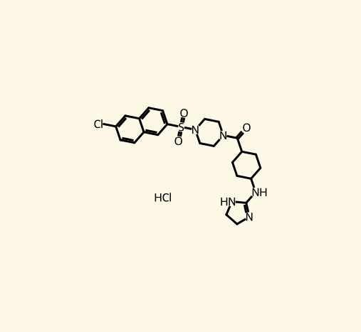 Cl.O=C(C1CCC(NC2=NCCN2)CC1)N1CCN(S(=O)(=O)c2ccc3cc(Cl)ccc3c2)CC1